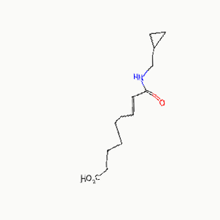 O=C(O)CCCCCCC(=O)NCC1CC1